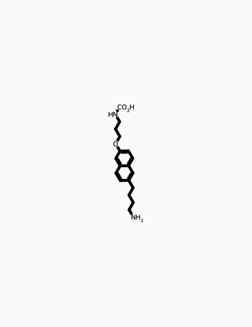 NCCCCc1ccc2cc(OCCCNC(=O)O)ccc2c1